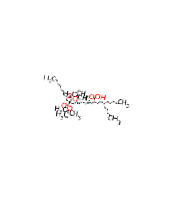 CCCCCCCCCC(CCCCCCCC(CCC(CCCCC)CCCCC)C(=O)O)(C(=O)OC(C)(C)C)C(=O)OC(C)(C)C